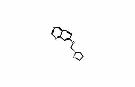 c1ncc2ccc(OC[C@H]3CCCO3)cc2n1